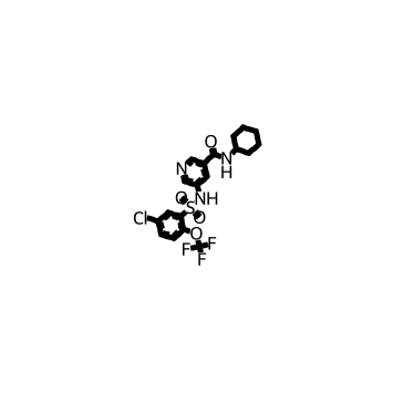 O=C(NC1CCCCC1)c1cncc(NS(=O)(=O)c2cc(Cl)ccc2OC(F)(F)F)c1